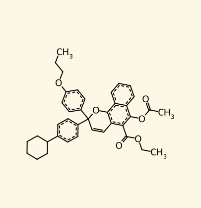 CCCOc1ccc(C2(c3ccc(C4CCCCC4)cc3)C=Cc3c(C(=O)OCC)c(OC(C)=O)c4ccccc4c3O2)cc1